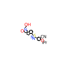 CC(C)Oc1ccc(-c2nnc(-c3cccc4c3CCC43CC(=O)N(CCO)C3)s2)cc1C#N